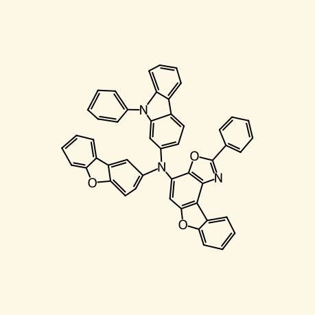 c1ccc(-c2nc3c(o2)c(N(c2ccc4oc5ccccc5c4c2)c2ccc4c5ccccc5n(-c5ccccc5)c4c2)cc2oc4ccccc4c23)cc1